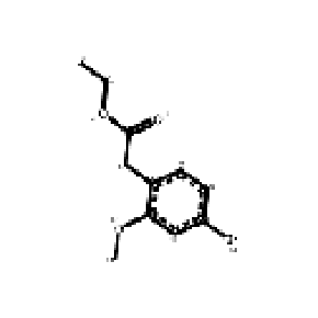 CCOC(=O)Cc1ccc(Br)cc1OC